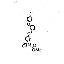 COC(=O)COC1(c2ccc(OCc3cccc(Oc4ccc(F)cc4)c3)cc2)COC1